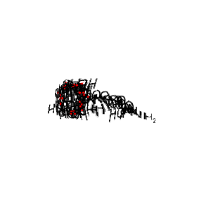 CCSCC1O[C@@H]2O[C@@H]3C(CO)O[C@@H](O[C@@H]4C(CO)O[C@@H](O[C@@H]5C(CSC[C@@H](NC)C(=O)NCCC(=O)OCC(=O)OCOP(=O)(O)OC[C@H]6O[C@@H](n7ccc(N)nc7=O)C(F)(F)[C@@H]6O)O[C@@H](O[C@@H]6C(CO)OC(O[C@@H]7C(CO)O[C@H](O[C@@H]8C(CO)O[C@@H](O[C@H]1[C@H](O)C2O)C(O)[C@H]8O)C(O)[C@H]7O)[C@@H](O)[C@H]6O)C(O)[C@H]5O)C(O)[C@H]4O)C(O)[C@H]3O